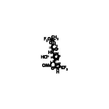 COC[C@H](c1ccnc(NC(=O)CCOC(C)(C)C(F)(F)F)c1)N1C[C@@H](C(F)(F)F)NC1=O.Cl